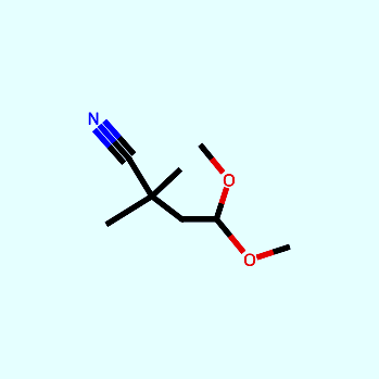 COC(CC(C)(C)C#N)OC